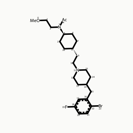 COCCN(C(C)=O)[C@H]1CC[C@H](CCN2CCC(Cc3cc(F)ccc3Br)CC2)CC1